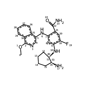 COc1ncc(Nc2nc(N[C@@H]3CCCC[C@@H]3N)c(F)cc2C(N)=O)c2ccccc12